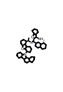 CC(/N=C(/c1ccc2ccccc2c1)c1oc2ccccc2c1N)c1cccc2oc3c(-n4c5ccccc5c5ccc6ccccc6c54)cccc3c12